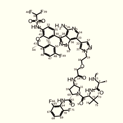 CN[C@@H](C)C(=O)N[C@H](C(=O)N1CC(NC(=O)COCCn2cc(-c3cnc(N)c4c(-c5ccc(NS(=O)(=O)C(F)F)c(O[C@@H](C)c6ccc(F)cc6)c5)nn(C)c34)cn2)C[C@H]1C(=O)Nc1c(F)cccc1F)C(C)(C)C